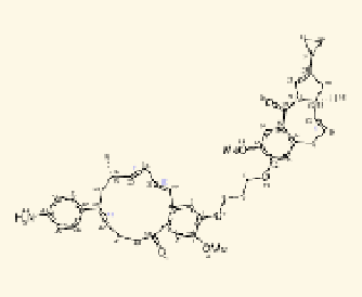 COc1cc2c(cc1OCCCOc1cc3c(cc1OC)C(=O)N1C=C(C4CC4)C[C@H]1/C=C/C3)/C=C/C=C/[C@@H](C)C/C(c1ccc(N)cc1)=C\CCC2=O